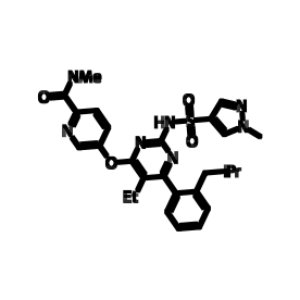 CCc1c(Oc2ccc(C(=O)NC)nc2)nc(NS(=O)(=O)c2cnn(C)c2)nc1-c1ccccc1CC(C)C